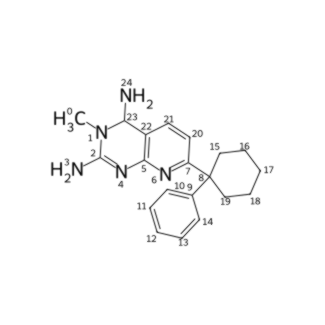 CN1C(N)=Nc2nc(C3(c4ccccc4)CCCCC3)ccc2C1N